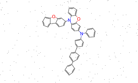 c1ccc(-c2ccc(-c3ccc(N(c4ccccc4)c4ccc5c(c4)Oc4ccccc4N5c4ccc5c(c4)oc4ccccc45)cc3)cc2)cc1